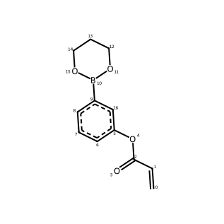 C=CC(=O)Oc1cccc(B2OCCCO2)c1